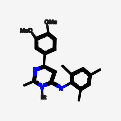 CCn1c(C)nc(-c2ccc(OC)c(OC)c2)cc1=Nc1c(C)cc(C)cc1C